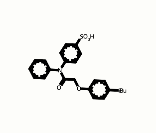 CCC(C)c1ccc(OCC(=O)N(c2ccccc2)c2ccc(S(=O)(=O)O)cc2)cc1